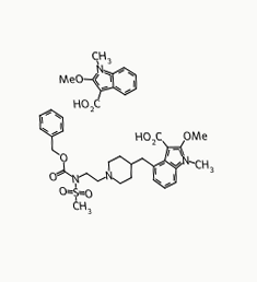 COc1c(C(=O)O)c2c(CC3CCN(CCN(C(=O)OCc4ccccc4)S(C)(=O)=O)CC3)cccc2n1C.COc1c(C(=O)O)c2ccccc2n1C